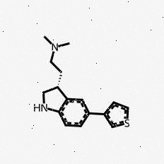 CN(C)CC[C@H]1CNc2ccc(-c3ccsc3)cc21